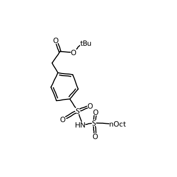 CCCCCCCCS(=O)(=O)NS(=O)(=O)c1ccc(CC(=O)OC(C)(C)C)cc1